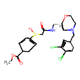 COC(=O)C1C=CC([S+]([O-])CC(=O)NC[C@H]2CN(CC3C=C(Cl)C(Cl)=CC3)CCO2)=CC1